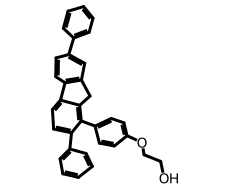 OCCOc1ccc(-c2c(-c3ccccc3)ccc3c2Cc2cc(-c4ccccc4)ccc2-3)cc1